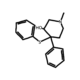 CN1CCC(Sc2ccccc2)(c2ccccc2)C(O)C1